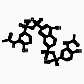 CC(=O)Nc1cc([As](=O)(O)OS(=O)(=O)c2ccc3c(O)cc(S(=O)(=O)O[As](=O)(O)c4ccc(O)c(NC(C)=O)c4)cc3c2)ccc1O